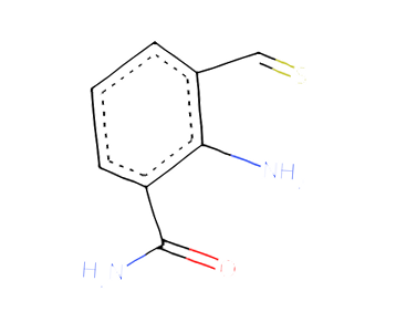 NC(=O)c1cccc(C=S)c1N